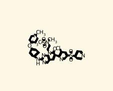 CN1CCC(Oc2ccc(Nc3ncc4cc(-c5ncc(S(=O)(=O)c6ccncc6)cc5Cl)c(=O)n(CCN(C)S(C)(=O)=O)c4n3)cc2)CC1